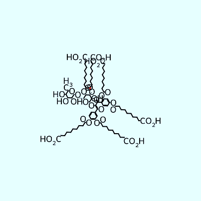 C[C@@H]1O[C@@H](OC[C@H]2O[C@@H](Oc3c(-c4ccc(OC(=O)CCCCCCCCC(=O)O)c(OC(=O)CCCCCCCCC(=O)O)c4)oc4cc(OC(=O)CCCCCCCCC(=O)O)cc(OC(=O)CCCCCCCCC(=O)O)c4c3=O)[C@H](O)[C@@H](OC(=O)CCCCCCCCC(=O)O)[C@@H]2OC(=O)CCCCCCCCC(=O)O)[C@H](O)[C@H](O)[C@H]1O